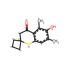 Cc1cc2c(c(C)c1O)C(=O)CC1(CCC1)S2